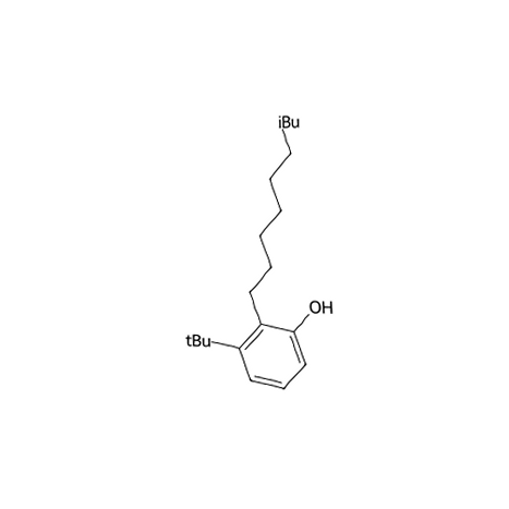 CCC(C)CCCCCCc1c(O)cccc1C(C)(C)C